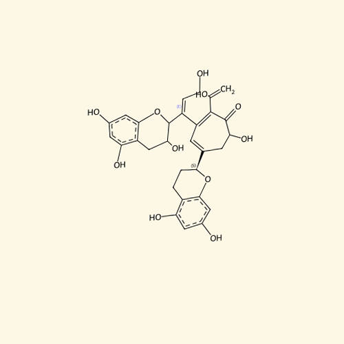 C=C(O)C1=C(/C(=C\CO)C2Oc3cc(O)cc(O)c3CC2O)C=C([C@@H]2CCc3c(O)cc(O)cc3O2)CC(O)C1=O